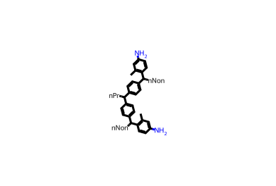 CCCCCCCCCC(c1ccc(C(CCC)c2ccc(C(CCCCCCCCC)c3ccc(N)cc3C)cc2)cc1)c1ccc(N)cc1C